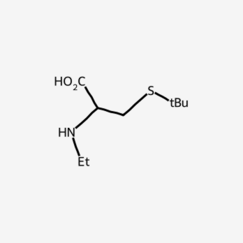 CCNC(CSC(C)(C)C)C(=O)O